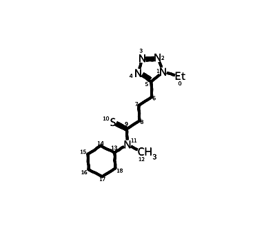 CCn1nnnc1CCCC(=S)N(C)C1CCCCC1